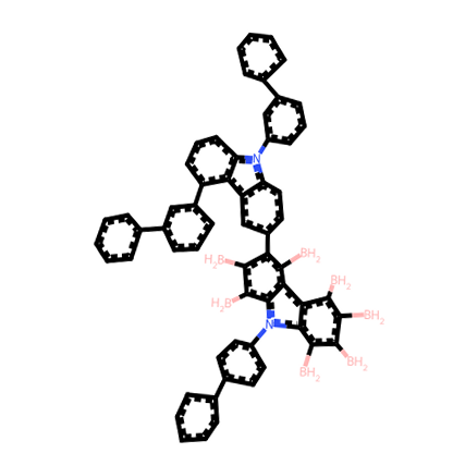 Bc1c(B)c(B)c2c(c1B)c1c(B)c(-c3ccc4c(c3)c3c(-c5cccc(-c6ccccc6)c5)cccc3n4-c3cccc(-c4ccccc4)c3)c(B)c(B)c1n2-c1ccc(-c2ccccc2)cc1